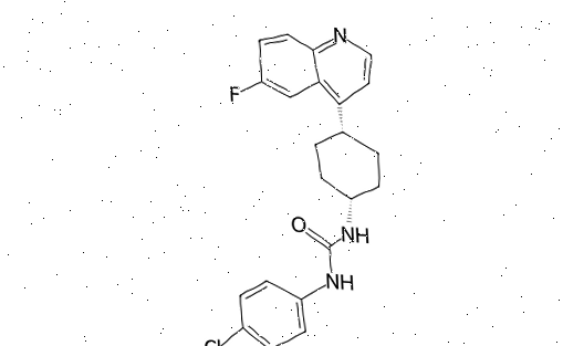 O=C(Nc1ccc(Cl)cc1)N[C@H]1CC[C@@H](c2ccnc3ccc(F)cc32)CC1